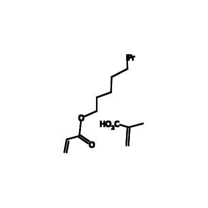 C=C(C)C(=O)O.C=CC(=O)OCCCCCC(C)C